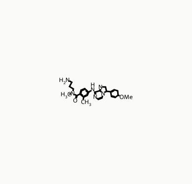 COC1C=CC(C2CN=C3C(Nc4ccc(C(=O)N(C)CCCN)c(C)c4)=NC=CN32)=CC1